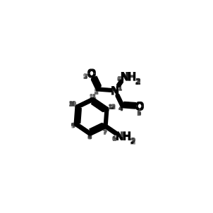 NN(C=O)C=O.Nc1ccccc1